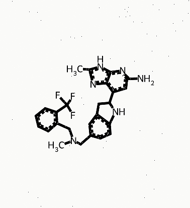 Cc1nc2c(C3Cc4cc(CN(C)Cc5ccccc5C(F)(F)F)ccc4N3)cc(N)nc2[nH]1